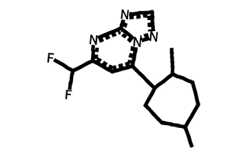 CC1CCC(C)C(c2cc(C(F)F)nc3ncnn23)CC1